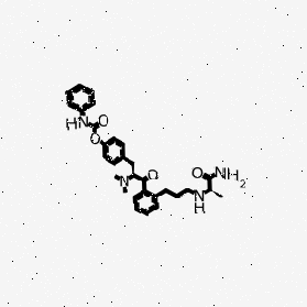 C[C@@H](NCCCc1ccccc1C(=O)[C@H](Cc1ccc(OC(=O)Nc2ccccc2)cc1)N(C)C)C(N)=O